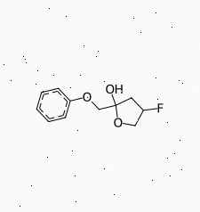 OC1(COc2ccccc2)CC(F)CO1